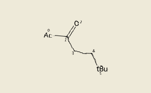 CC(=O)C(=O)CCC(C)(C)C